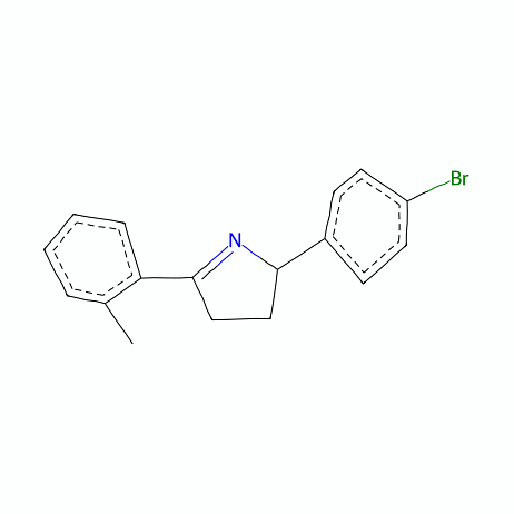 Cc1ccccc1C1=NC(c2ccc(Br)cc2)CC1